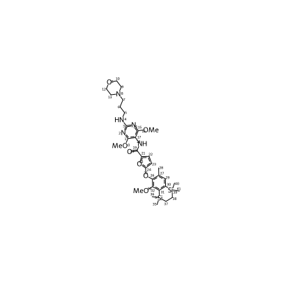 COc1nc(NCCCN2CCOCC2)nc(OC)c1NC(=O)c1ccc(Oc2c(C)cc3c(c2OC)[Si](C)(C)CC[Si]3(C)C)o1